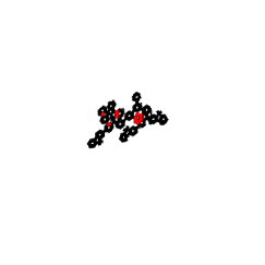 CC1(C)c2ccccc2-c2ccc(-c3ccc(N(c4ccc5c(c4)C(C)(C)c4ccccc4-5)c4cccc(-c5cc(-c6ccccc6)cc(-c6ccc(-c7cccc(N(c8ccc(-c9ccc%10c(c9)C(C)(C)c9ccccc9-%10)cc8)c8ccc9c(c8)C(c8ccccc8)(c8ccccc8)c8ccccc8-9)c7-c7ccccc7)cc6-c6ccccc6)c5)c4-c4ccccc4)cc3)cc21